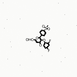 CS(=O)(=O)c1ccc(-c2oc(C=O)cc(=O)c2Oc2ccc(F)cc2F)cc1